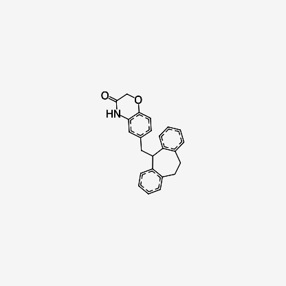 O=C1COc2ccc(CC3c4ccccc4CCc4ccccc43)cc2N1